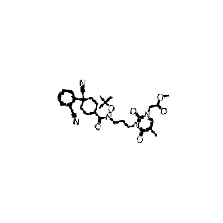 COC(=O)Cn1cc(C)c(=O)n(CCCN(OC(C)(C)C)C(=O)C2CCC(C#N)(c3ccccc3C#N)CC2)c1=O